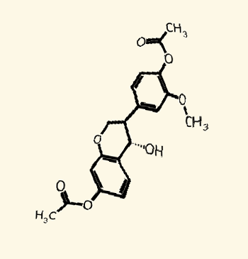 COc1cc(C2COc3cc(OC(C)=O)ccc3[C@H]2O)ccc1OC(C)=O